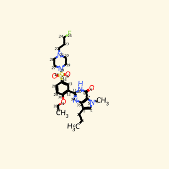 CCCc1cn(C)c2c(=O)[nH]c(-c3cc(S(=O)(=O)N4CCN(CCCF)CC4)ccc3OCC)nc12